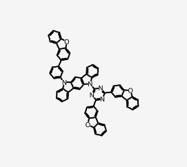 c1cc(-c2ccc3oc4ccccc4c3c2)cc(-n2c3ccccc3c3cc4c(cc32)c2ccccc2n4-c2nc(-c3ccc4oc5ccccc5c4c3)nc(-c3ccc4oc5ccccc5c4c3)n2)c1